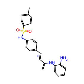 C=C(/C=C/c1ccc(NS(=O)(=O)c2ccc(C)cc2)cc1)Nc1ccccc1N